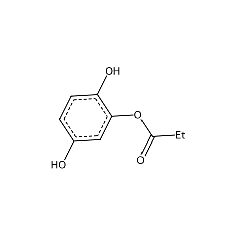 CCC(=O)Oc1cc(O)ccc1O